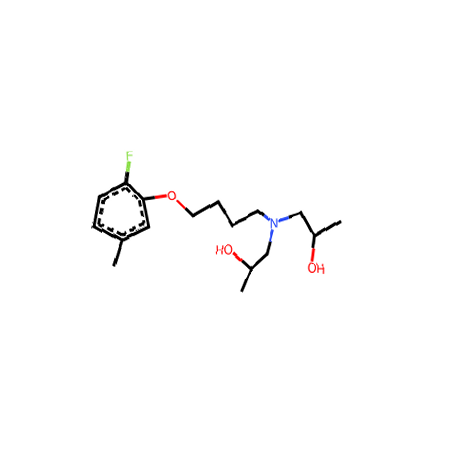 Cc1ccc(F)c(OCCCCN(CC(C)O)CC(C)O)c1